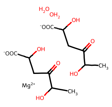 CC(O)C(=O)CC(O)C(=O)[O-].CC(O)C(=O)CC(O)C(=O)[O-].O.O.[Mg+2]